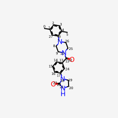 Cc1ccc(C)c(N2CCN(C(=O)c3cccc(N4CCNC4=O)c3)CC2)c1